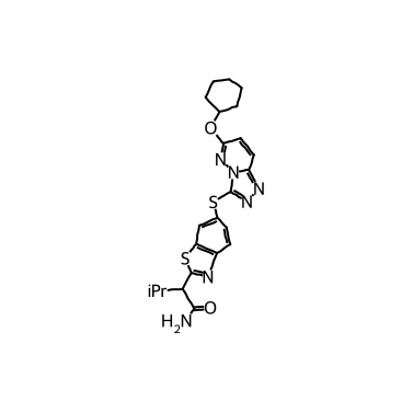 CC(C)C(C(N)=O)c1nc2ccc(Sc3nnc4ccc(OC5CCCCC5)nn34)cc2s1